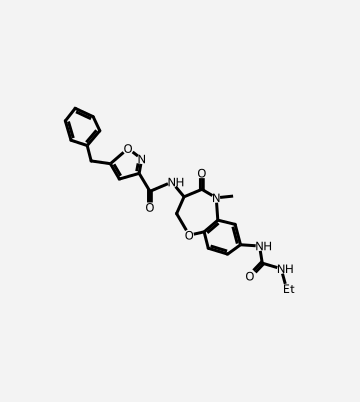 CCNC(=O)Nc1ccc2c(c1)N(C)C(=O)C(NC(=O)c1cc(Cc3ccccc3)on1)CO2